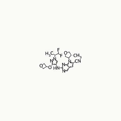 CC(C(F)F)n1cc(Nc2ncc3cc(C#N)n([C@H]4COC[C@@H]4C)c3n2)c(OC2COC2)n1